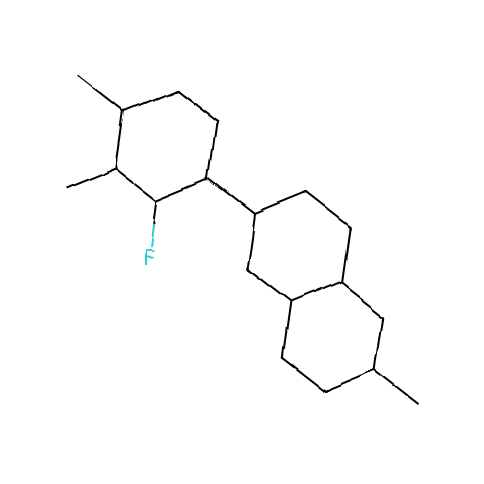 CC1CCC2CC(C3CCC(C)C(C)C3F)CCC2C1